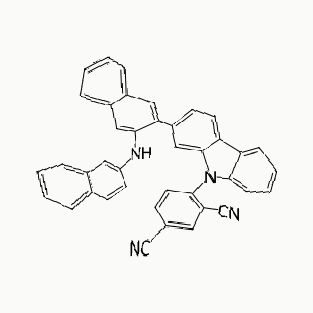 N#Cc1ccc(-n2c3ccccc3c3ccc(-c4cc5ccccc5cc4Nc4ccc5ccccc5c4)cc32)c(C#N)c1